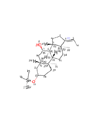 C/C=C1/CC[C@H]2[C@@H]3[C@H](O)C[C@H]4CC(O[Si](C)(C)C(C)(C)C)CC[C@]4(C)[C@H]3CC[C@]12C